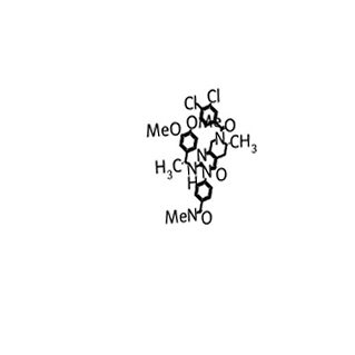 CNC(=O)c1ccc(-n2c(N[C@H](C)c3ccc(OC)c(OC)c3)nc3c(c2=O)C[C@@H](C)N(C(=O)c2ccc(Cl)c(Cl)c2)C3)cc1